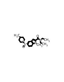 CCN(CC)C(=O)c1cc2cc([S+]([O-])N3CCC(C)CC3)ccc2n1C